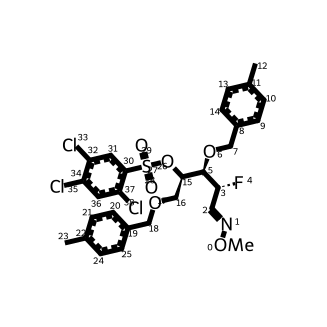 CO/N=C/[C@@H](F)[C@H](OCc1ccc(C)cc1)[C@@H](COCc1ccc(C)cc1)OS(=O)(=O)c1cc(Cl)c(Cl)cc1Cl